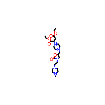 CCOC(=O)CC(C(=O)OCC)N1CCN(CC2CN(CCN3CCN(C)CC3)C(=O)O2)CC1